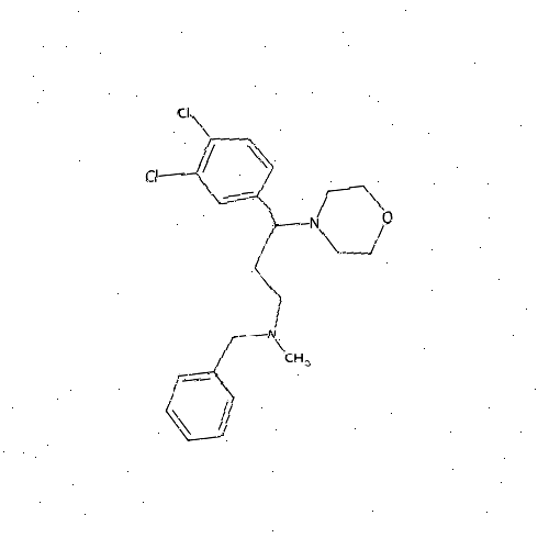 CN(CCC(c1ccc(Cl)c(Cl)c1)N1CCOCC1)Cc1ccccc1